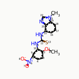 COc1ccc([N+](=O)[O-])cc1NC(=S)Nc1cccc2c1ncn2C